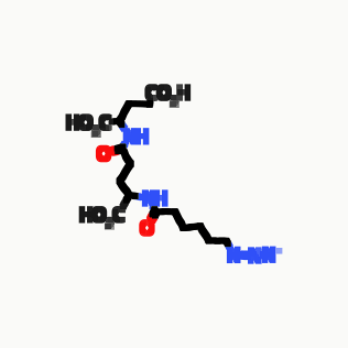 [N-]=[N+]=NCCCCCC(=O)NC(CCC(=O)NC(CCC(=O)O)C(=O)O)C(=O)O